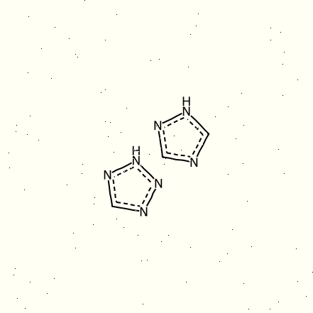 c1nc[nH]n1.c1nn[nH]n1